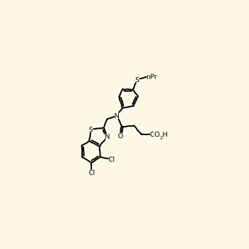 CCCSc1ccc(N(Cc2nc3c(Cl)c(Cl)ccc3s2)C(=O)CCC(=O)O)cc1